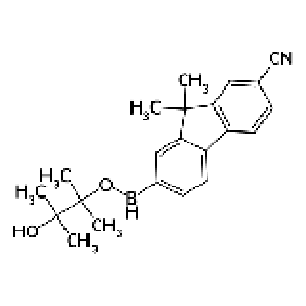 CC1(C)c2cc(BOC(C)(C)C(C)(C)O)ccc2-c2ccc(C#N)cc21